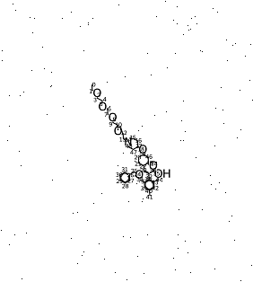 CCOCCOCCOCCOCCN1CCC(OC2CCC(/C(OCc3ccccc3)=C(\C(=O)O)c3c(C)cc(C)cc3C)CC2)CC1